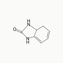 O=C1NC2=CC=CCC2N1